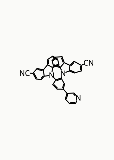 N#Cc1ccc2c(c1)c1ccccc1n2-c1ccc(-c2cccnc2)cc1-n1c2ccccc2c2cc(C#N)ccc21